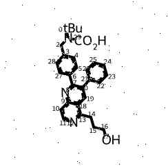 CC(C)(C)N(Cc1ccc(-c2nc3ccnc(CCCO)c3cc2-c2ccccc2)cc1)C(=O)O